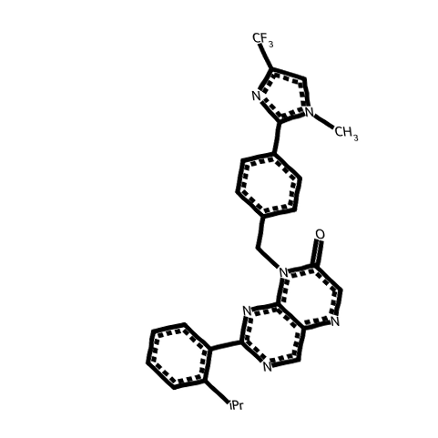 CC(C)c1ccccc1-c1ncc2ncc(=O)n(Cc3ccc(-c4nc(C(F)(F)F)cn4C)cc3)c2n1